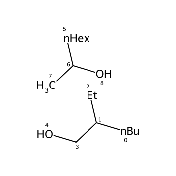 CCCCC(CC)CO.CCCCCCC(C)O